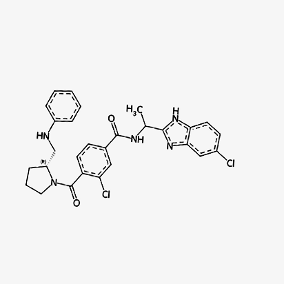 CC(NC(=O)c1ccc(C(=O)N2CCC[C@@H]2CNc2ccccc2)c(Cl)c1)c1nc2cc(Cl)ccc2[nH]1